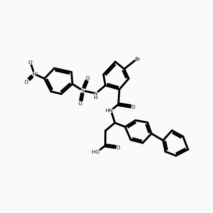 O=C(O)CC(NC(=O)c1cc(Br)ccc1NS(=O)(=O)c1ccc([N+](=O)[O-])cc1)c1ccc(-c2ccccc2)cc1